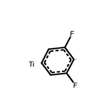 Fc1[c]c(F)ccc1.[Ti]